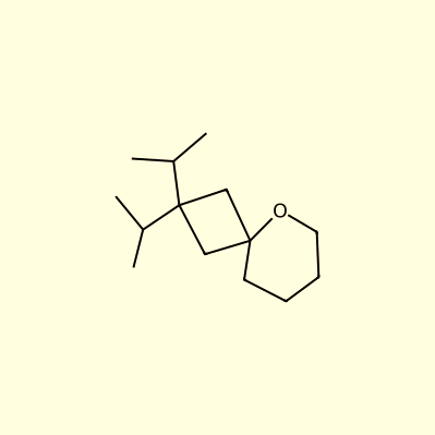 CC(C)C1(C(C)C)CC2(CCCCO2)C1